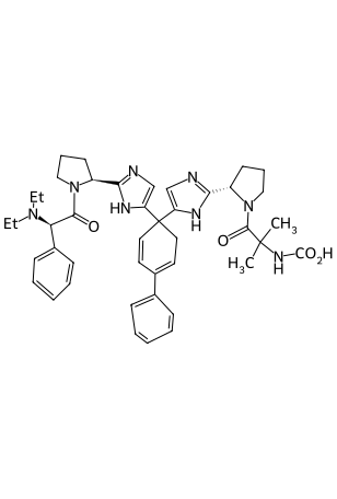 CCN(CC)[C@@H](C(=O)N1CCC[C@H]1c1ncc(C2(c3cnc([C@@H]4CCCN4C(=O)C(C)(C)NC(=O)O)[nH]3)C=CC(c3ccccc3)=CC2)[nH]1)c1ccccc1